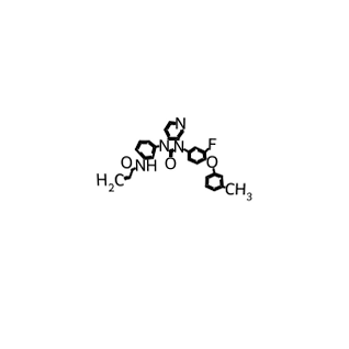 C=CC(=O)Nc1cccc(-n2c(=O)n(-c3ccc(Oc4cccc(C)c4)c(F)c3)c3cnccc32)c1